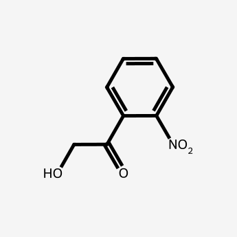 O=C(CO)c1ccccc1[N+](=O)[O-]